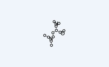 c1ccc(-c2ccc(N(c3ccc(-c4ccccc4)cc3)c3cccc(-c4cccc(-c5cc(-c6ccc7oc8ccccc8c7c6)cc(-c6ccc7c(c6)c6ccccc6n7-c6ccccc6)c5)c4)c3)cc2)cc1